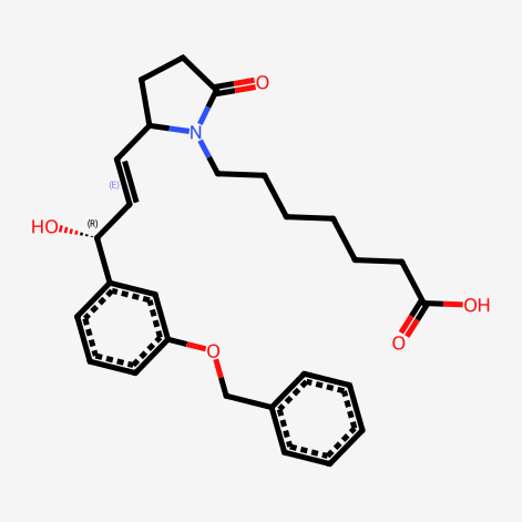 O=C(O)CCCCCCN1C(=O)CCC1/C=C/[C@@H](O)c1cccc(OCc2ccccc2)c1